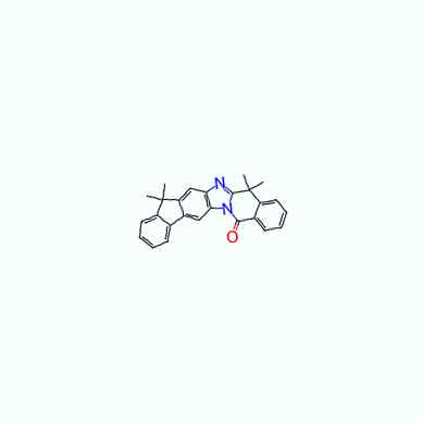 CC1(C)c2ccccc2-c2cc3c(cc21)nc1n3C(=O)c2ccccc2C1(C)C